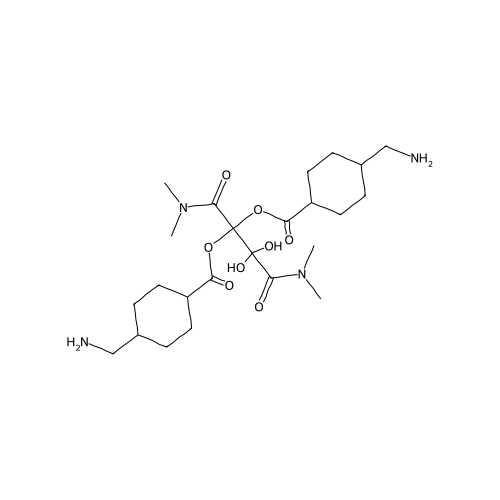 CN(C)C(=O)C(O)(O)C(OC(=O)C1CCC(CN)CC1)(OC(=O)C1CCC(CN)CC1)C(=O)N(C)C